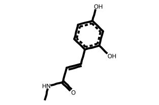 CNC(=O)/C=C/c1ccc(O)cc1O